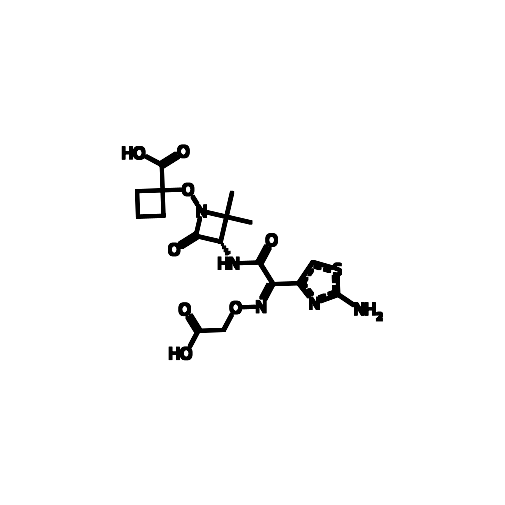 CC1(C)[C@H](NC(=O)/C(=N\OCC(=O)O)c2csc(N)n2)C(=O)N1OC1(C(=O)O)CCC1